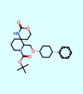 CC(C)(C)OC(=O)N1CCCC2(CCOC(=O)N2)C1CO[C@H]1CC[C@@H](c2ccccc2)CC1